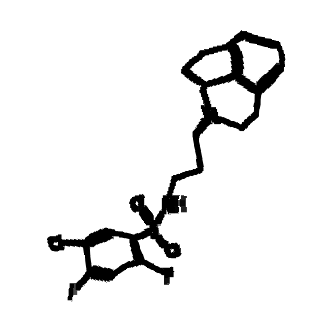 O=S(=O)(NCCCN1CCc2cccc3c2C1CC3)c1cc(Cl)c(F)cc1F